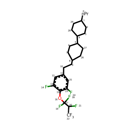 CCCC1CCC(C2CCC(CCc3cc(F)c(OC(F)(F)C(F)C(F)(F)F)c(F)c3)CC2)CC1